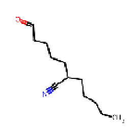 CCCCCC(C#N)CCCCC=O